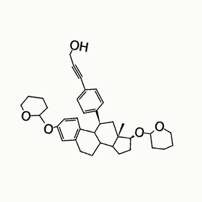 C[C@]12C[C@H](c3ccc(C#CCO)cc3)C3c4ccc(OC5CCCCO5)cc4CCC3C1CC[C@@H]2OC1CCCCO1